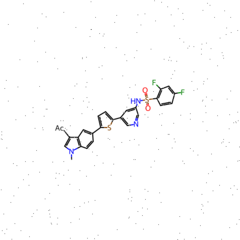 CC(=O)c1cn(C)c2ccc(-c3ccc(-c4cncc(NS(=O)(=O)c5ccc(F)cc5F)c4)s3)cc12